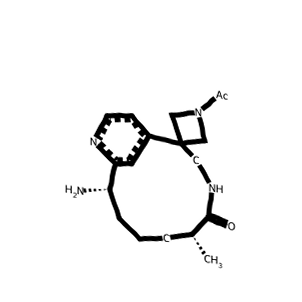 CC(=O)N1CC2(CNC(=O)[C@H](C)CCC[C@H](N)c3cc2ccn3)C1